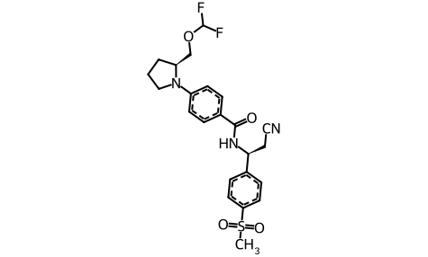 CS(=O)(=O)c1ccc([C@H](CC#N)NC(=O)c2ccc(N3CCC[C@H]3COC(F)F)cc2)cc1